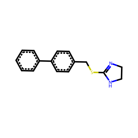 c1ccc(-c2ccc(CSC3=NCCN3)cc2)cc1